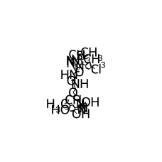 Cc1sc2c(c1C)C(c1ccc(Cl)cc1)=N[C@@H](CC(=O)NCC(=O)NCCOc1ccc(-n3c(O)nnc3-c3cc(C(C)C)c(O)cc3O)cc1)c1nnc(C)n1-2